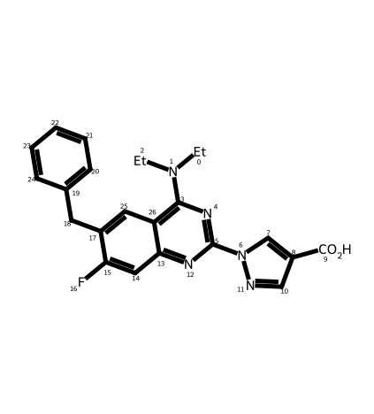 CCN(CC)c1nc(-n2cc(C(=O)O)cn2)nc2cc(F)c(Cc3ccccc3)cc12